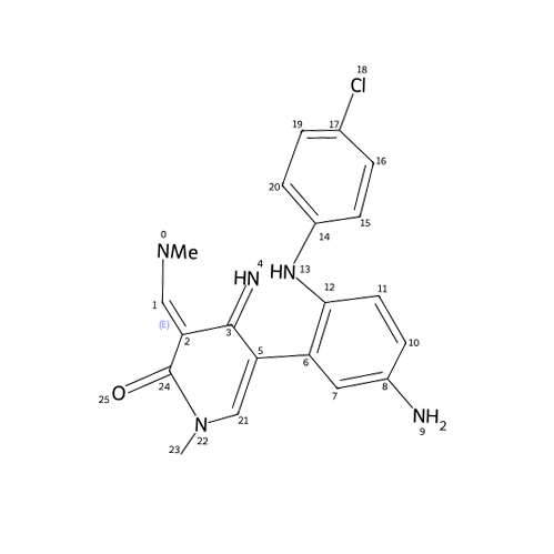 CN/C=C1\C(=N)C(c2cc(N)ccc2Nc2ccc(Cl)cc2)=CN(C)C1=O